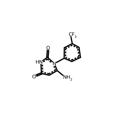 Nc1cc(=O)[nH]c(=O)n1-c1cccc(C(F)(F)F)c1